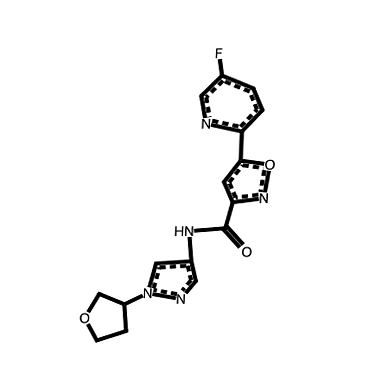 O=C(Nc1cnn(C2CCOC2)c1)c1cc(-c2ccc(F)cn2)on1